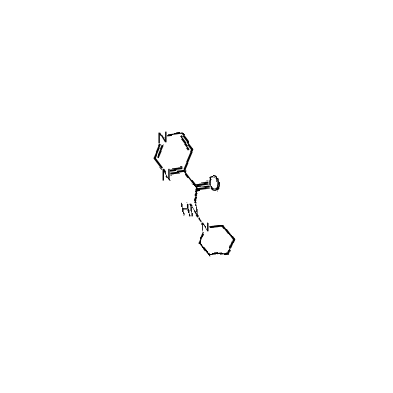 O=C(NN1CCCCC1)c1ccncn1